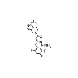 NN=N/C(=C\C(=O)N1CCn2c(nnc2C(F)(F)F)C1)Cc1cc(F)c(F)cc1F